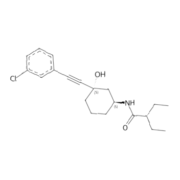 CCC(CC)C(=O)N[C@H]1CCC[C@@](O)(C#Cc2cccc(Cl)c2)C1